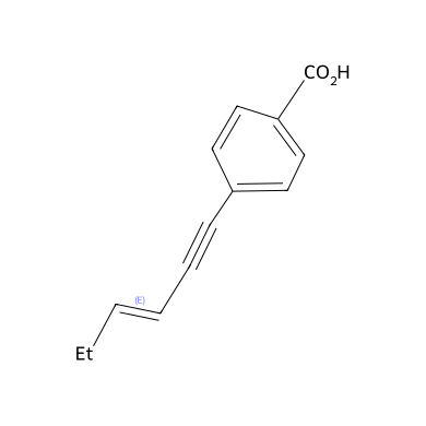 CC/C=C/C#Cc1ccc(C(=O)O)cc1